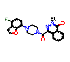 CCn1nc(C(=O)N2CCN(c3ccc(F)c4ccoc34)CC2)c2ccccc2c1=O